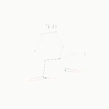 O=C1OC(=O)C2(S(=O)(=O)O)C=CC=CC12.[NaH]